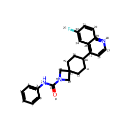 O=C(Nc1ccccc1)N1CC2(CCC(c3ccnc4ccc(F)cc34)CC2)C1